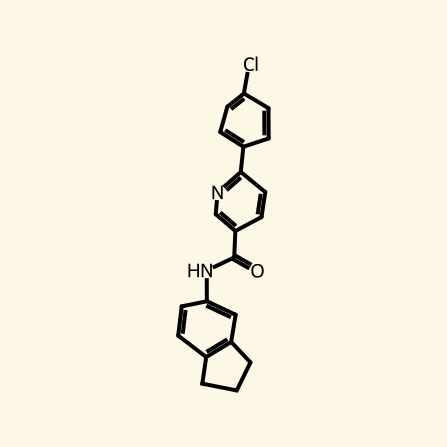 O=C(Nc1ccc2c(c1)CCC2)c1ccc(-c2ccc(Cl)cc2)nc1